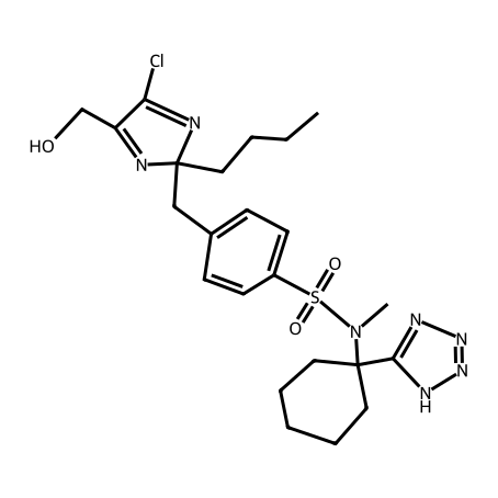 CCCCC1(Cc2ccc(S(=O)(=O)N(C)C3(c4nnn[nH]4)CCCCC3)cc2)N=C(Cl)C(CO)=N1